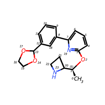 C[C@H](Oc1cccc(-c2cccc(C3OCCO3)c2)n1)C1CCN1